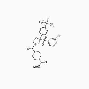 COC(=O)C1CCC(C(=O)N2CCC(c3ccc(C(F)(C(F)(F)F)C(F)(F)F)cc3)(S(=O)(=O)c3cccc(Br)c3)C2)CC1